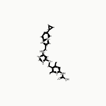 Cc1cc(NC(=O)O)nc(C)c1COc1cc(NCc2cn3cc(C4CC4)ccc3n2)ncn1